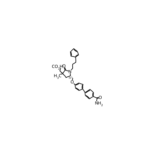 C[C@@]1(CC(=O)O)C[C@@H](COc2ccc(-c3ccc(C(N)=O)cc3)cc2)N(CCCc2ccccc2)C1=O